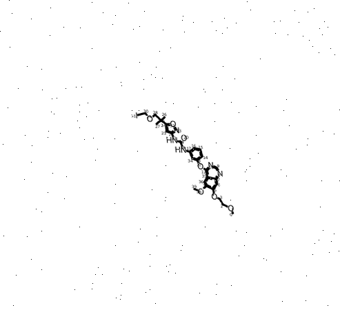 COCCOc1cc2ncnc(Oc3cccc(NC(=O)Nc4cc(C(C)(C)COCI)on4)c3)c2cc1OC